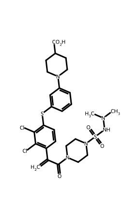 C=C(C(=O)N1CCN(S(=O)(=O)NN(C)C)CC1)c1ccc(Sc2cccc(N3CCC(C(=O)O)CC3)c2)c(Cl)c1Cl